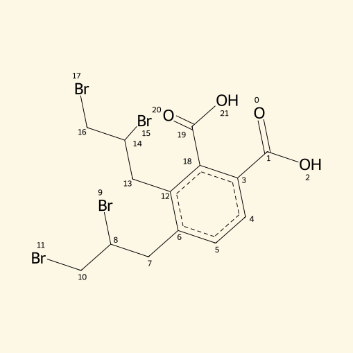 O=C(O)c1ccc(CC(Br)CBr)c(CC(Br)CBr)c1C(=O)O